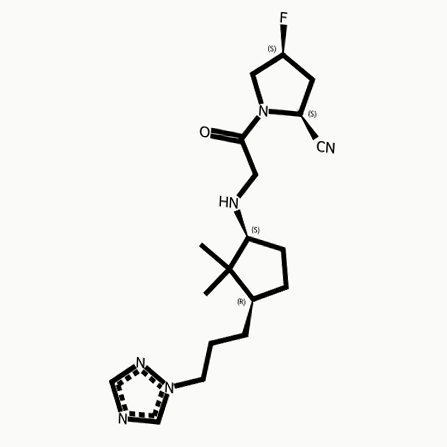 CC1(C)[C@H](CCCn2cncn2)CC[C@@H]1NCC(=O)N1C[C@@H](F)C[C@H]1C#N